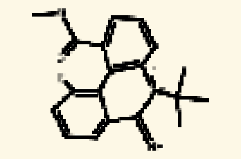 COC(=O)c1cccc(SC)c1-c1c(F)cccc1C(=N)[S+]([O-])C(C)(C)C